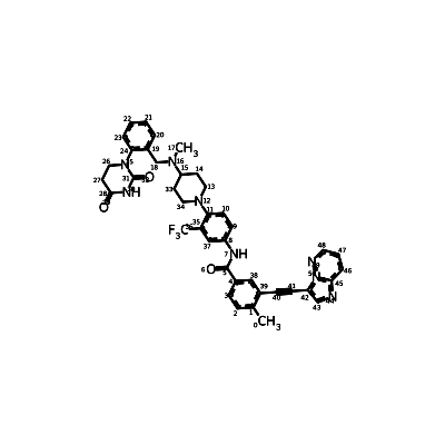 Cc1ccc(C(=O)Nc2ccc(N3CCC(N(C)Cc4ccccc4N4CCC(=O)NC4=O)CC3)c(C(F)(F)F)c2)cc1C#Cc1cnc2cccnn12